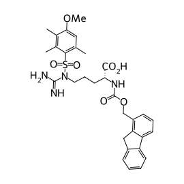 COc1cc(C)c(S(=O)(=O)N(CCC[C@@H](NC(=O)OCc2cccc3c2Cc2ccccc2-3)C(=O)O)C(=N)N)c(C)c1C